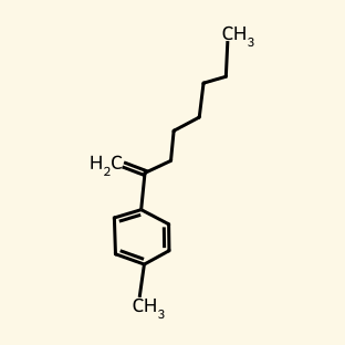 C=C(CCCCCC)c1ccc(C)cc1